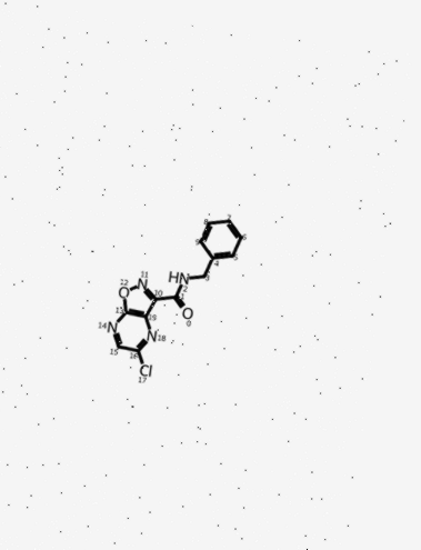 O=C(NCc1ccccc1)c1noc2ncc(Cl)nc12